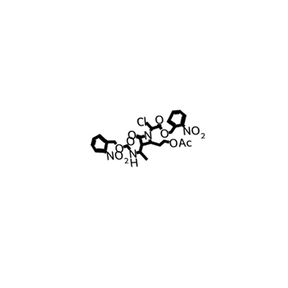 CC(=O)OCCC1C(C(C)NC(=O)OCc2ccccc2[N+](=O)[O-])C(=O)N1C(Cl)C(=O)OCc1ccccc1[N+](=O)[O-]